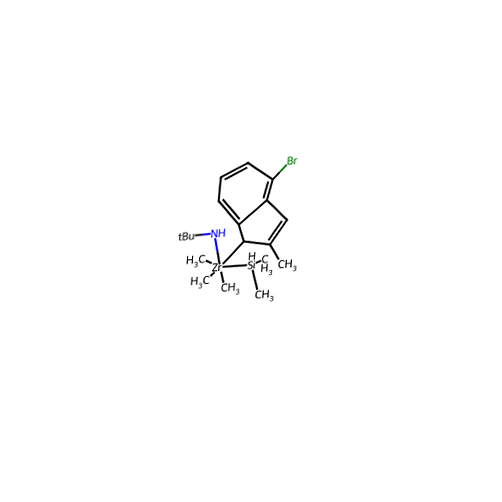 CC1=Cc2c(Br)cccc2[CH]1[Zr]([CH3])([CH3])([CH3])([NH]C(C)(C)C)[SiH](C)C